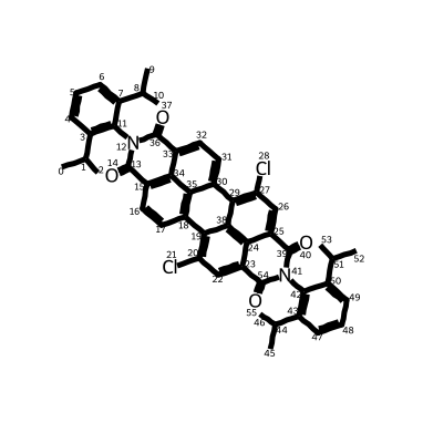 CC(C)c1cccc(C(C)C)c1N1C(=O)c2ccc3c4c(Cl)cc5c6c(cc(Cl)c(c7ccc(c2c37)C1=O)c64)C(=O)N(c1c(C(C)C)cccc1C(C)C)C5=O